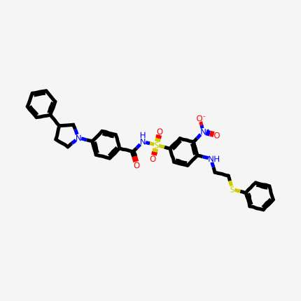 O=C(NS(=O)(=O)c1ccc(NCCSc2ccccc2)c([N+](=O)[O-])c1)c1ccc(N2CCC(c3ccccc3)C2)cc1